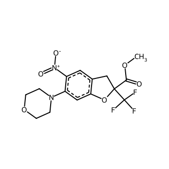 COC(=O)C1(C(F)(F)F)Cc2cc([N+](=O)[O-])c(N3CCOCC3)cc2O1